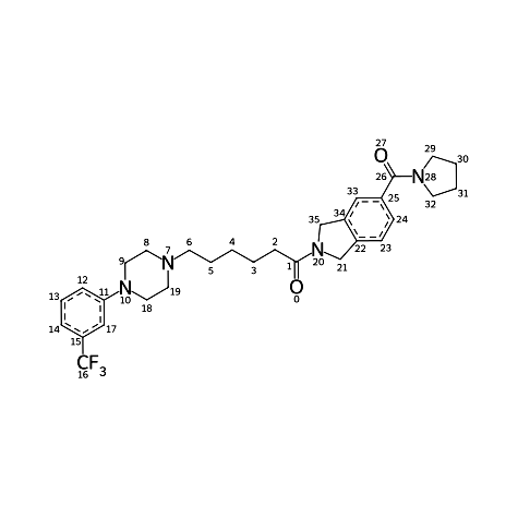 O=C(CCCCCN1CCN(c2cccc(C(F)(F)F)c2)CC1)N1Cc2ccc(C(=O)N3CCCC3)cc2C1